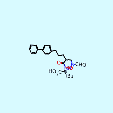 CC(C)(C)[C@H](NC(=O)C(CCCc1ccc(-c2ccccc2)cc1)CN(O)C=O)C(=O)O